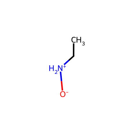 CC[NH2+][O-]